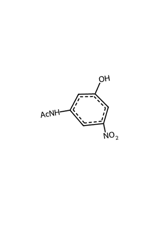 CC(=O)Nc1cc(O)cc([N+](=O)[O-])c1